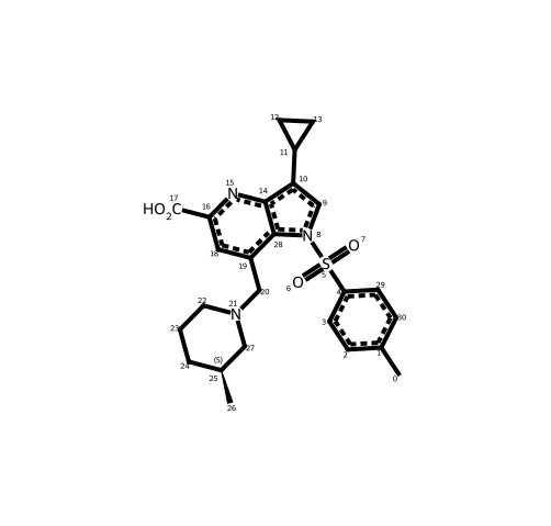 Cc1ccc(S(=O)(=O)n2cc(C3CC3)c3nc(C(=O)O)cc(CN4CCC[C@H](C)C4)c32)cc1